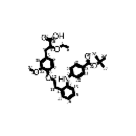 CCOC(Cc1ccc(OCCc2ccccc2Nc2ccc(C(=O)OC(C)(C)C)cc2)c(OC)c1)C(=O)O